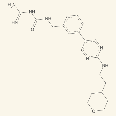 N=C(N)NC(=O)NCc1cccc(-c2cnc(NCCC3CCOCC3)nc2)c1